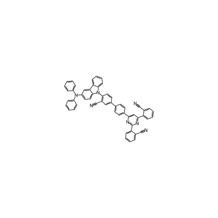 N#Cc1ccccc1-c1cc(-c2ccc(-c3ccc(-n4c5ccccc5c5cc(N(c6ccccc6)c6ccccc6)ccc54)c(C#N)c3)cc2)nc(-c2ccccc2C#N)n1